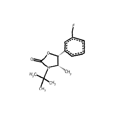 C[C@H]1[C@@H](c2cccc(F)c2)OC(=O)N1C(C)(C)C